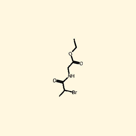 CCOC(=O)CNC(=O)C(C)Br